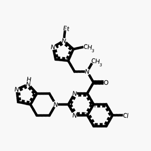 CCn1ncc(CN(C)C(=O)c2nc(N3CCc4cn[nH]c4C3)nc3ccc(Cl)cc23)c1C